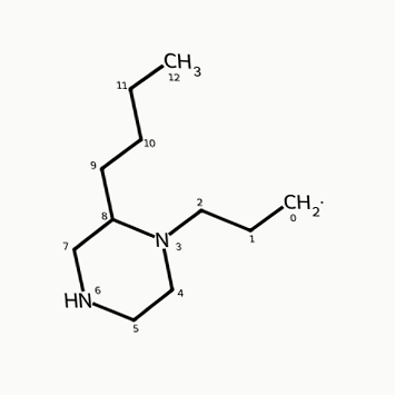 [CH2]CCN1CCNCC1CCCC